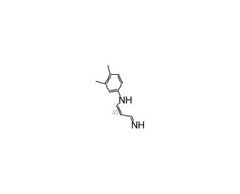 Cc1ccc(N/C=C\C=N)cc1C